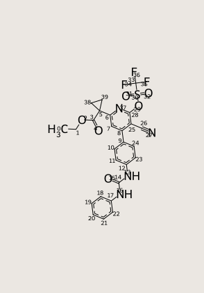 CCOC(=O)C1(c2cc(-c3ccc(NC(=O)Nc4ccccc4)cc3)c(C#N)c(OS(=O)(=O)C(F)(F)F)n2)CC1